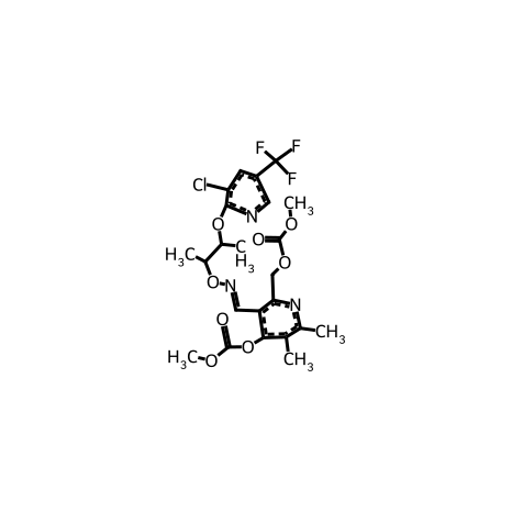 COC(=O)OCc1nc(C)c(C)c(OC(=O)OC)c1/C=N/OC(C)C(C)Oc1ncc(C(F)(F)F)cc1Cl